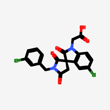 O=C(O)CN1C(=O)[C@]2(CC(=O)N(Cc3cccc(Cl)c3)C2=O)c2cc(Cl)ccc21